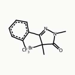 CN1N=C(c2ccccc2C(F)(F)F)C(C)(Br)C1=O